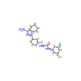 Nc1nn(-c2cccc(CNC(=O)Nc3cc(F)cc(F)c3)c2)c2ccccc12